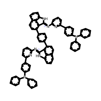 c1ccc(N(c2ccccc2)c2ccc(-c3cccc(/N=C4\Nc5cccc6ccc(-c7ccc(-c8ccc9cccc%10c9c8/C(=N/c8cccc(-c9ccc(N(c%11ccccc%11)c%11ccccc%11)cc9)n8)N%10)cc7)c4c56)n3)cc2)cc1